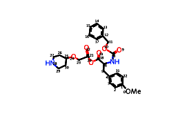 COc1ccc(CC(NC(=O)OCc2ccccc2)C(=O)OC(=O)COC2CCNCC2)cc1